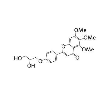 COc1cc2oc(-c3ccc(OCC(O)CO)cc3)cc(=O)c2c(OC)c1OC